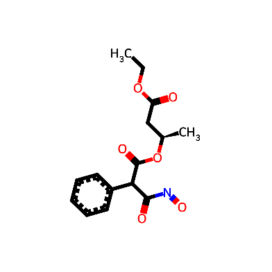 CCOC(=O)C[C@@H](C)OC(=O)C(C(=O)N=O)c1ccccc1